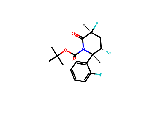 CC(C)(C)OC(=O)N1C(=O)[C@@](C)(F)C[C@H](F)[C@@]1(C)c1ccccc1F